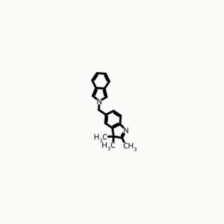 CC1=Nc2ccc(Cn3cc4ccccc4c3)cc2C1(C)C